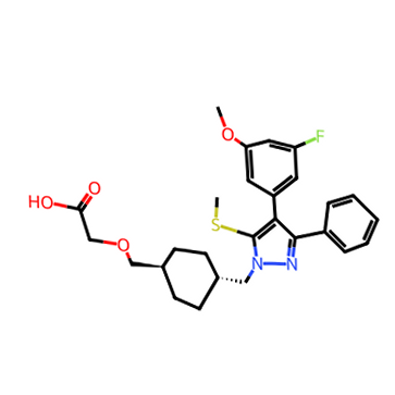 COc1cc(F)cc(-c2c(-c3ccccc3)nn(C[C@H]3CC[C@H](COCC(=O)O)CC3)c2SC)c1